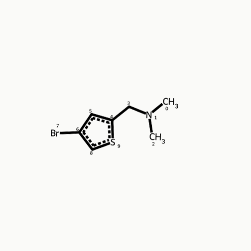 CN(C)Cc1cc(Br)cs1